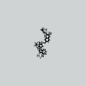 CC1(C)O[C@@H]2[C@@H](CCc3ccc4cc(Br)c(NCC5CC5)nc4c3)C[C@@H](n3ccc4c(N)ncnc43)[C@@H]2O1